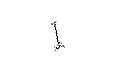 CC(CC(=O)O)NC(=O)CCCCCCCCCCCCS(=O)O